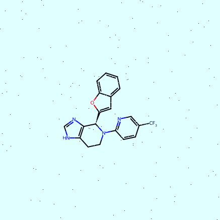 FC(F)(F)c1ccc(N2CCc3[nH]cnc3[C@H]2c2cc3ccccc3o2)nc1